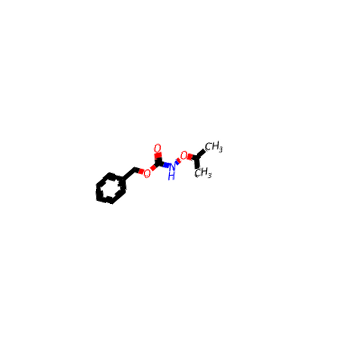 CC(C)ONC(=O)OCc1ccccc1